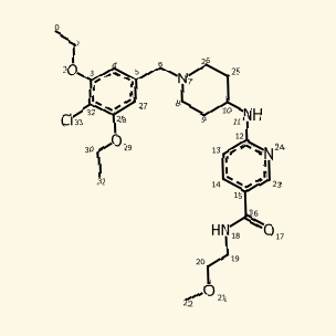 CCOc1cc(CN2CCC(Nc3ccc(C(=O)NCCOC)cn3)CC2)cc(OCC)c1Cl